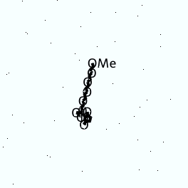 COCCOCCOCCOCCOCCOC(=O)ON1C(=O)CCC1=O